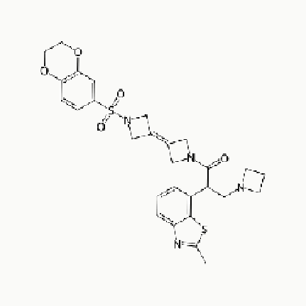 Cc1nc2cccc(C(CN3CCC3)C(=O)N3CC(=C4CN(S(=O)(=O)c5ccc6c(c5)OCCO6)C4)C3)c2s1